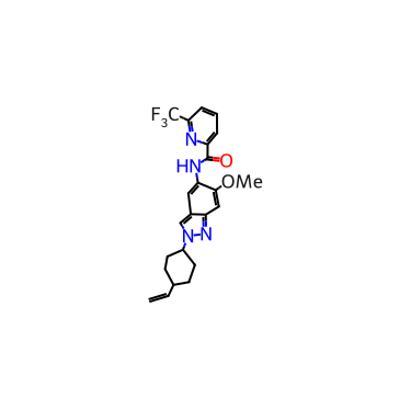 C=CC1CCC(n2cc3cc(NC(=O)c4cccc(C(F)(F)F)n4)c(OC)cc3n2)CC1